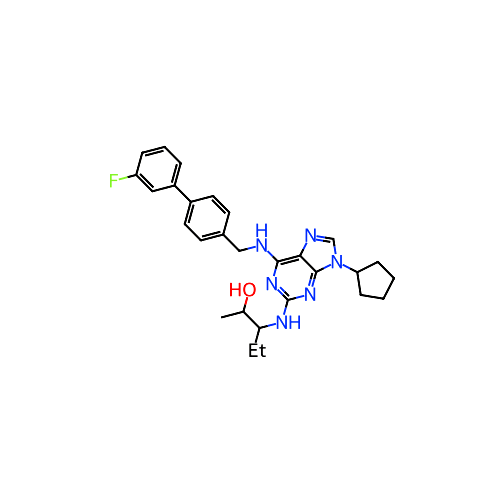 CCC(Nc1nc(NCc2ccc(-c3cccc(F)c3)cc2)c2ncn(C3CCCC3)c2n1)C(C)O